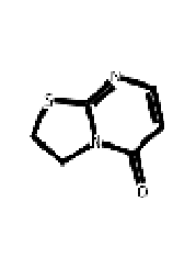 O=c1ccnc2n1[C]CS2